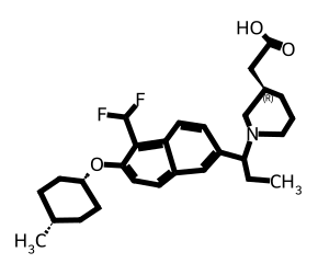 CCC(c1ccc2c(C(F)F)c(O[C@H]3CC[C@@H](C)CC3)ccc2c1)N1CCC[C@H](CC(=O)O)C1